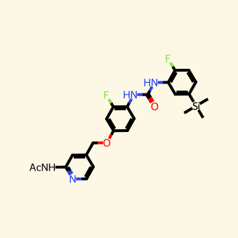 CC(=O)Nc1cc(COc2ccc(NC(=O)Nc3cc([Si](C)(C)C)ccc3F)c(F)c2)ccn1